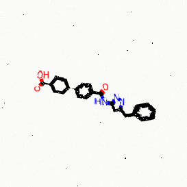 O=C(NC1=NN=C(Cc2ccccc2)C1)c1ccc([C@H]2CC[C@H](C(=O)O)CC2)cc1